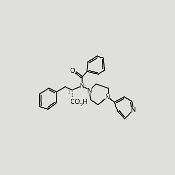 O=C(O)[C@H](Cc1ccccc1)N(C(=O)c1ccccc1)N1CCN(c2ccncc2)CC1